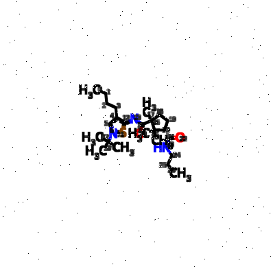 CCCCc1cn(C(C)(C)C)s/c1=N\C(=O)[C@]1(C)CC[C@H](C(=O)NCCC)C1(C)C